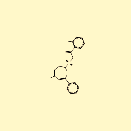 CCC1C=C(c2ccccc2)SC(S(=O)(=O)CC(=N)c2ccccc2C(=O)O)C[C@H]1CC